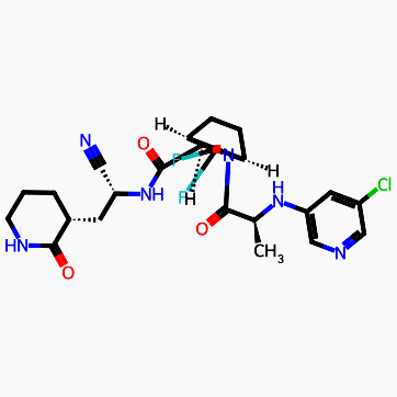 C[C@H](Nc1cncc(Cl)c1)C(=O)N1[C@@H]2CC[C@H]([C@@H]1C(=O)N[C@@H](C#N)C[C@H]1CCCNC1=O)C(F)(F)C2